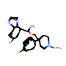 CC(OCC1(c2ccc(F)cc2)CCN(C)CC1)c1cc(Br)cc2nccnc12